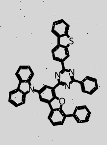 c1ccc(-c2nc(-c3ccc4c(c3)sc3ccccc34)nc(-c3cc(-n4c5ccccc5c5ccccc54)cc4c3oc3c(-c5ccccc5)cccc34)n2)cc1